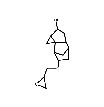 OC1CC2C3CC(OCC4CO4)C(C3)C23CC13